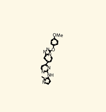 COc1ccc(Oc2nnc3cc(-c4ccnc(Nc5ccnn5C)n4)ccn23)cc1